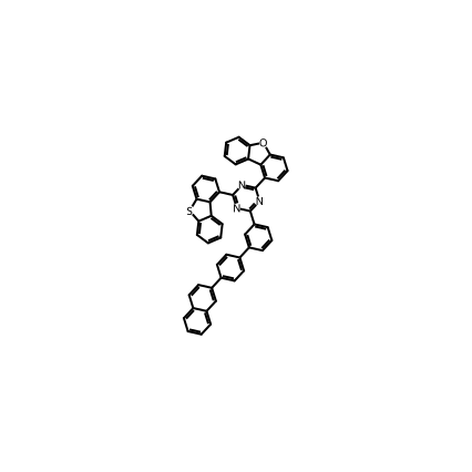 c1cc(-c2ccc(-c3ccc4ccccc4c3)cc2)cc(-c2nc(-c3cccc4oc5ccccc5c34)nc(-c3cccc4sc5ccccc5c34)n2)c1